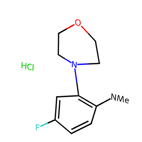 CNc1ccc(F)cc1N1CCOCC1.Cl